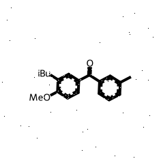 CCC(C)c1cc(C(=O)c2cccc(C)c2)ccc1OC